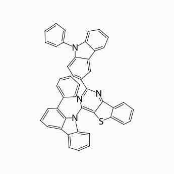 c1ccc(-c2cccc3c4ccccc4n(-c4nc(-c5ccc6c(c5)c5ccccc5n6-c5ccccc5)nc5c4sc4ccccc45)c23)cc1